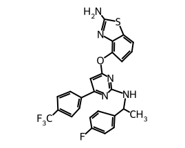 CC(Nc1nc(Oc2cccc3sc(N)nc23)cc(-c2ccc(C(F)(F)F)cc2)n1)c1ccc(F)cc1